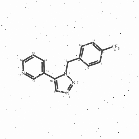 FC(F)(F)c1ccc(Cn2nn[c]c2-c2cccnc2)cc1